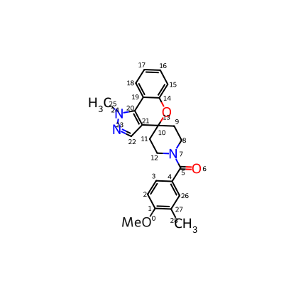 COc1ccc(C(=O)N2CCC3(CC2)Oc2ccccc2-c2c3cnn2C)cc1C